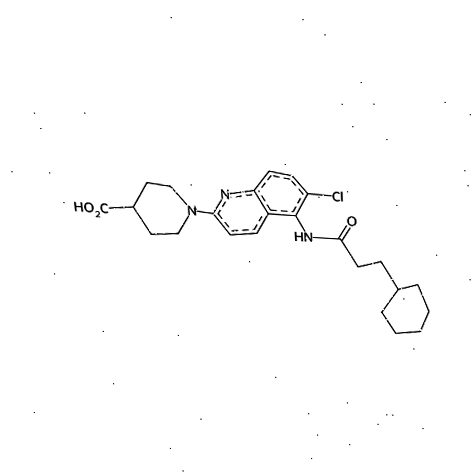 O=C(CCC1CCCCC1)Nc1c(Cl)ccc2nc(N3CCC(C(=O)O)CC3)ccc12